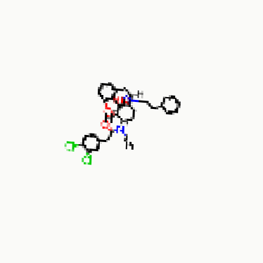 CC(C)CN(C(=O)Cc1ccc(Cl)c(Cl)c1)[C@H]1CC[C@@]2(O)[C@H]3Cc4cccc5c4[C@@]2(CCN3CCc2ccccc2)[C@H]1O5